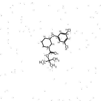 CC(C)(C)OC(=O)N1CCCC(Oc2cc(Cl)cc(Cl)c2)C1